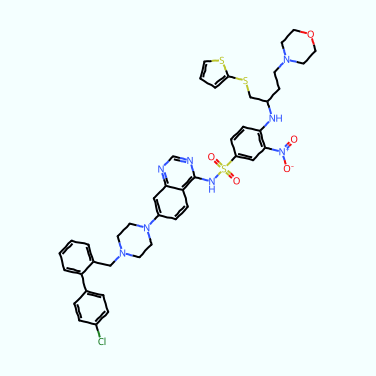 O=[N+]([O-])c1cc(S(=O)(=O)Nc2ncnc3cc(N4CCN(Cc5ccccc5-c5ccc(Cl)cc5)CC4)ccc23)ccc1NC(CCN1CCOCC1)CSc1cccs1